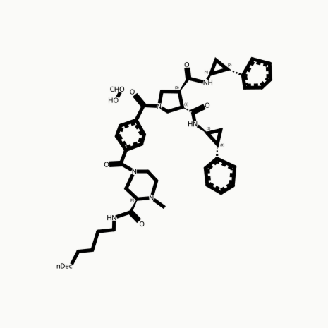 CCCCCCCCCCCCCCNC(=O)[C@H]1CN(C(=O)c2ccc(C(=O)N3C[C@@H](C(=O)N[C@H]4C[C@@H]4c4ccccc4)[C@H](C(=O)N[C@H]4C[C@@H]4c4ccccc4)C3)cc2)CCN1C.O=CO